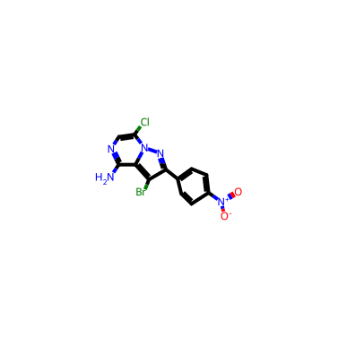 Nc1ncc(Cl)n2nc(-c3ccc([N+](=O)[O-])cc3)c(Br)c12